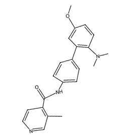 COc1ccc(N(C)C)c(-c2ccc(NC(=O)c3ccncc3C)cc2)c1